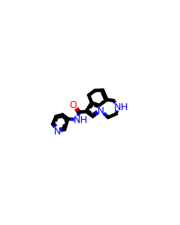 O=C(Nc1cccnc1)c1cn2c3c1CCC=C3CNCC2